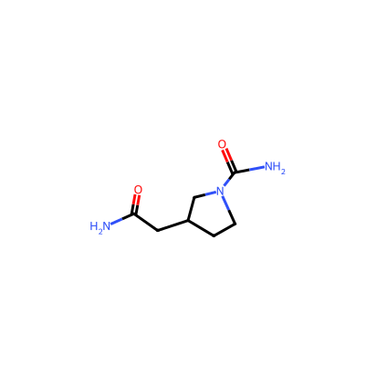 NC(=O)CC1CCN(C(N)=O)C1